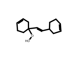 OOC1(/C=C/C2CC=CCC2)CC=CCC1